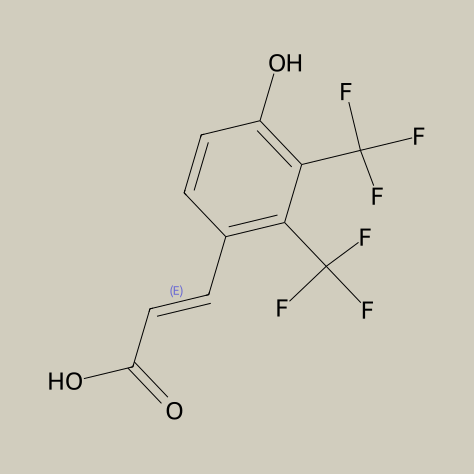 O=C(O)/C=C/c1ccc(O)c(C(F)(F)F)c1C(F)(F)F